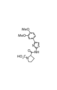 COc1ccc(-c2csc(NC(=O)C3CCCN3C(=O)O)n2)cc1OC